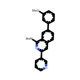 CNc1nc(-c2cccnc2)cc2ccc(-c3cccc(OC)c3)cc12